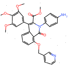 COC(=O)c1c(-c2cc(OC)c(OC)c(OC)c2)c2cccc(OCc3cccnc3)c2c(=O)n1-c1ccc(N)cc1